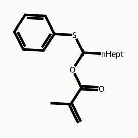 C=C(C)C(=O)OC(CCCCCCC)Sc1ccccc1